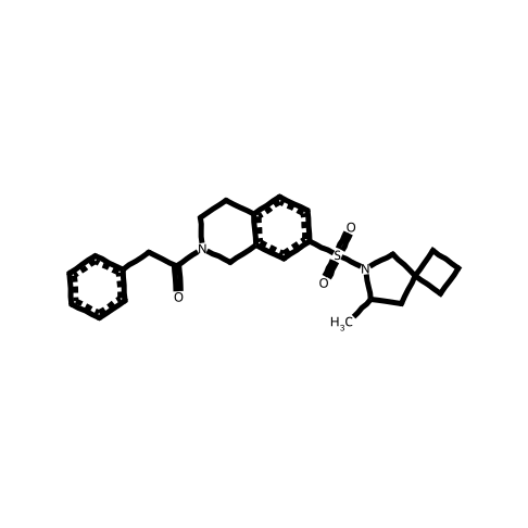 CC1CC2(CCC2)CN1S(=O)(=O)c1ccc2c(c1)CN(C(=O)Cc1ccccc1)CC2